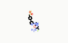 NC/C(=C\F)Cn1ncn(-c2cc(-c3ccc(C[SH](=O)=O)cc3)ccn2)c1=O